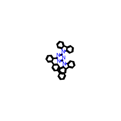 c1ccc(-c2ccc(-c3ccccc3-c3nc(-n4c5ccccc5c5ccccc54)nc(-n4c5ccccc5c5ccccc54)n3)cc2)cc1